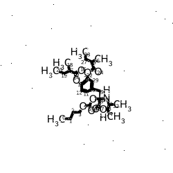 CCCCOC(=O)O[C@](Cc1ccc(OC(=O)C(C)CC)c(OC(=O)C(C)CC)c1)(NC(C)CC)C(=O)O